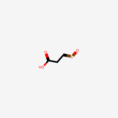 O=S=CCC(=O)O